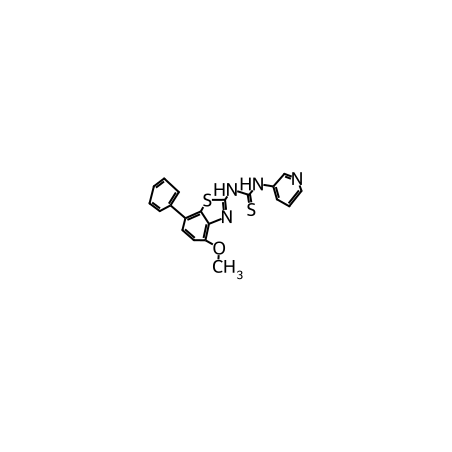 COc1ccc(-c2ccccc2)c2sc(NC(=S)Nc3cccnc3)nc12